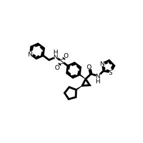 O=C(Nc1nccs1)[C@]1(c2ccc(S(=O)(=O)NCc3cccnc3)cc2)C[C@H]1C1CCCC1